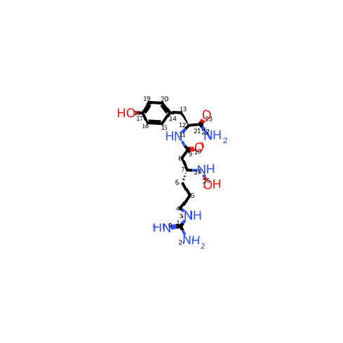 N=C(N)NCCC[C@H](CC(=O)N[C@@H](Cc1ccc(O)cc1)C(N)=O)NO